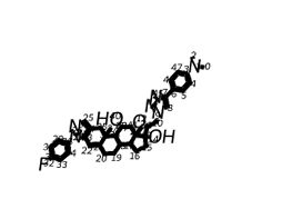 CN(C)c1ccc(-c2cn(CC(=O)C3(O)CCC4C5CCC6=Cc7c(cnn7-c7ccc(F)cc7)CC6(C)C5[C@@H](O)CC43C)nn2)cc1